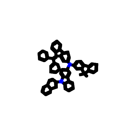 CC1(C)c2ccccc2-c2ccc(N(c3ccc4c(c3)/C(=C(/C3=CCCC=C3)C3=CC=CCC3)c3ccccc3-4)c3ccc4c(c3)c3ccccc3n4C3=CC4C=CC=CC4C=C3)cc21